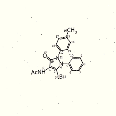 CC(=O)Nc1c(C(C)(C)C)n(-c2ccccc2)n(-c2ccc(C)cc2)c1=O